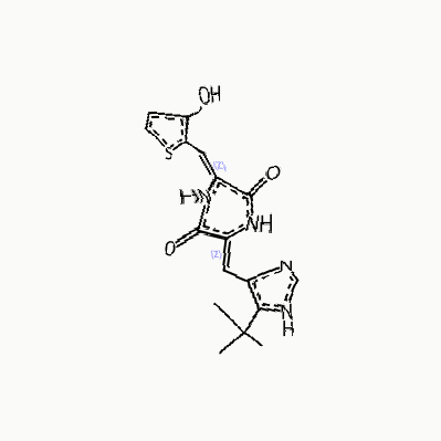 CC(C)(C)c1[nH]cnc1/C=c1\[nH]c(=O)/c(=C/c2sccc2O)[nH]c1=O